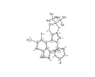 [2H]C([2H])([2H])C1(C([2H])([2H])[2H])Cn2nc(-c3ccc(F)cn3)c(-c3c(F)c(C)nc4[nH]nc(C)c34)c2CO1